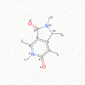 Cc1c2c(c(C)n(C)c1=O)C(=O)N(C)C2C